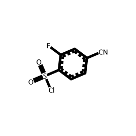 N#Cc1ccc(S(=O)(=O)Cl)c(F)c1